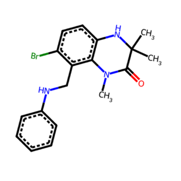 CN1C(=O)C(C)(C)Nc2ccc(Br)c(CNc3ccccc3)c21